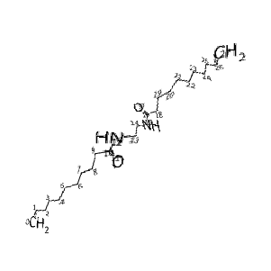 C=CCCCCCCCCC(=O)NCCNC(=O)CCCCCCCCC=C